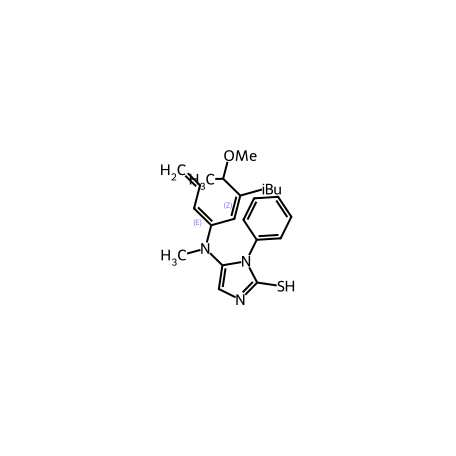 C=C/C=C(\C=C(\C(C)CC)C(C)OC)N(C)c1cnc(S)n1-c1ccccc1